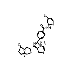 CCc1ccnc(NC(=O)c2ccc(C3=NC([C@@H]4CC[C@H]5CCC(=O)N5C4)=C4C=NC=C[N+]34N)cc2)c1